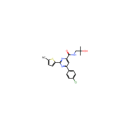 CC(C)(O)CNC(=O)c1cc(-c2ccc(Cl)cc2)nc(-c2ccc(C#N)s2)n1